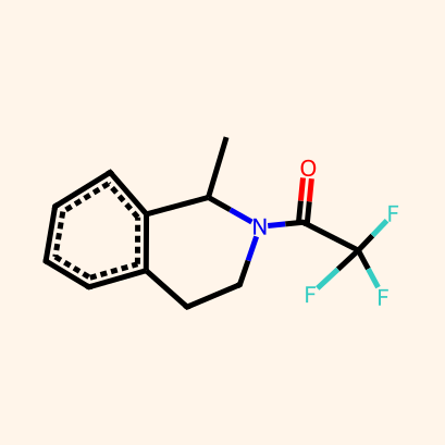 CC1c2ccccc2CCN1C(=O)C(F)(F)F